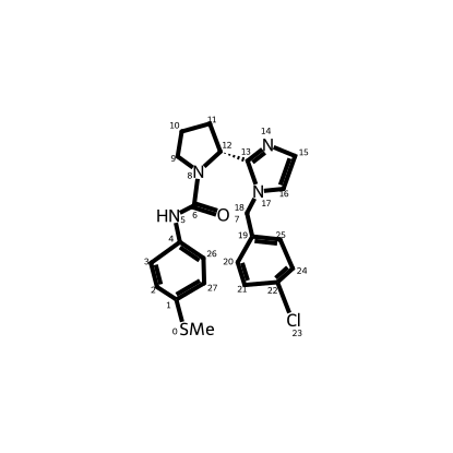 CSc1ccc(NC(=O)N2CCC[C@@H]2c2nccn2Cc2ccc(Cl)cc2)cc1